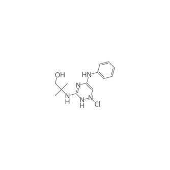 CC(C)(CO)NC1=NC(Nc2ccccc2)=CN(Cl)N1